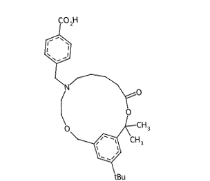 CC(C)(C)c1cc2cc(c1)C(C)(C)OC(=O)CCCCN(Cc1ccc(C(=O)O)cc1)CCOC2